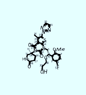 COc1ccc(F)cc1[C@H](Cn1c(=O)n([C@@]2(C)CCC(=O)NC2)c(=O)c2c(C)c(-n3nccn3)sc21)OCCO